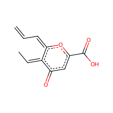 C=C/C=c1/oc(C(=O)O)cc(=O)/c1=C/C